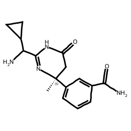 C[C@@]1(c2cccc(C(N)=O)c2)CC(=O)NC(C(N)C2CC2)=N1